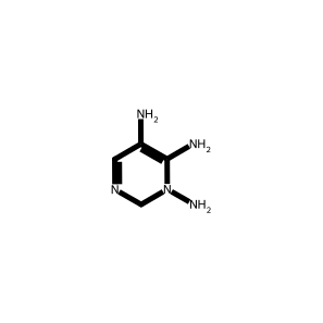 NC1=C(N)N(N)CN=C1